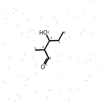 CCC(O)C(C)[C]=O